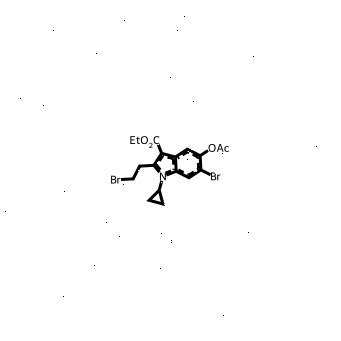 CCOC(=O)c1c(CCBr)n(C2CC2)c2cc(Br)c(OC(C)=O)cc12